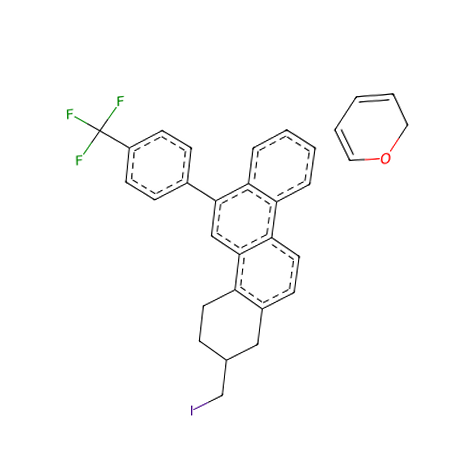 C1=CCOC=C1.FC(F)(F)c1ccc(-c2cc3c4c(ccc3c3ccccc23)CC(CI)CC4)cc1